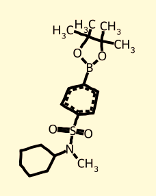 CN(C1CCCCC1)S(=O)(=O)c1ccc(B2OC(C)(C)C(C)(C)O2)cc1